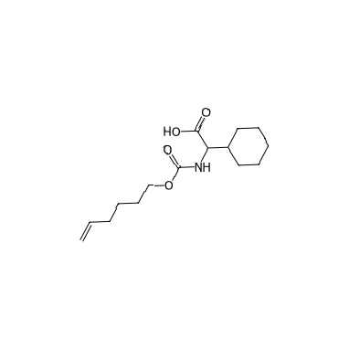 C=CCCCCOC(=O)NC(C(=O)O)C1CCCCC1